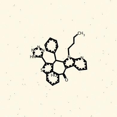 CCCCn1c(C(c2ccccc2)c2c(-c3nnn[nH]3)sc3ccccc23)c(C(=O)O)c2cccnc21